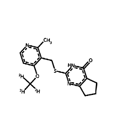 [2H]C([2H])([2H])Oc1ccnc(C)c1CSc1nc2c(c(=O)[nH]1)CCC2